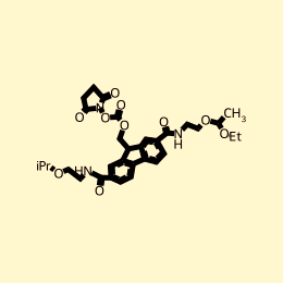 CCOC(C)OCCNC(=O)c1ccc2c(c1)C(COC(=O)ON1C(=O)CCC1=O)c1cc(C(=O)NCCOC(C)C)ccc1-2